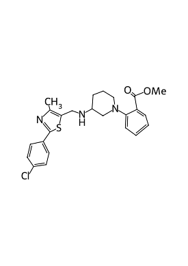 COC(=O)c1ccccc1N1CCCC(NCc2sc(-c3ccc(Cl)cc3)nc2C)C1